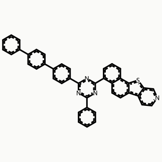 c1ccc(-c2ccc(-c3ccc(-c4nc(-c5ccccc5)nc(-c5cccc6c5ccc5c7ccncc7sc65)n4)cc3)cc2)cc1